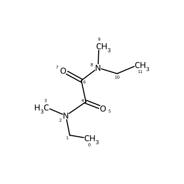 CCN(C)C(=O)C(=O)N(C)CC